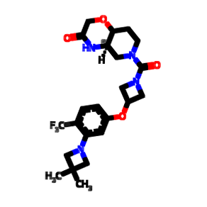 CC1(C)CN(c2cc(OC3CN(C(=O)N4CCC5OCC(=O)N[C@@H]5C4)C3)ccc2C(F)(F)F)C1